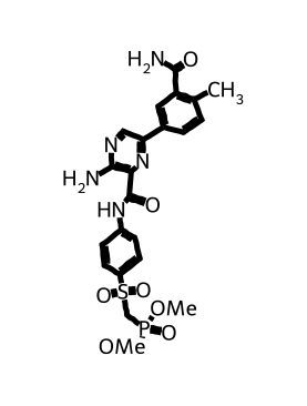 COP(=O)(CS(=O)(=O)c1ccc(NC(=O)c2nc(-c3ccc(C)c(C(N)=O)c3)cnc2N)cc1)OC